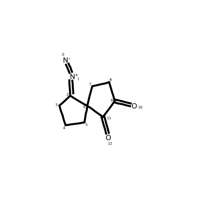 [N-]=[N+]=C1CCCC12CCC(=O)C2=O